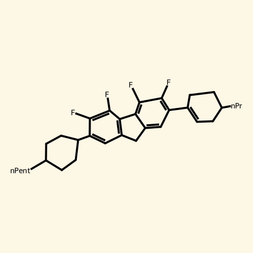 CCCCCC1CCC(c2cc3c(c(F)c2F)-c2c(cc(C4=CCC(CCC)CC4)c(F)c2F)C3)CC1